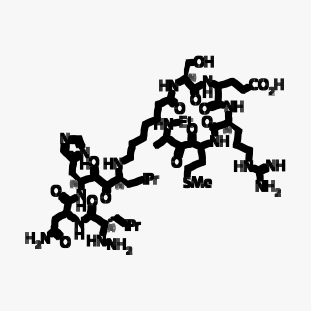 CCNC(C)C(=O)C(=O)C(CCSC)NC(=O)[C@H](CCCNC(=N)N)NC(=O)C(CCC(=O)O)NC(=O)[C@H](CO)NC(=O)CCCCCCN[C@@H](CC(C)C)C(=O)C(=O)[C@H](Cc1cnc[nH]1)NC(=O)C(CC(N)=O)NC(=O)[C@H](CC(C)C)NN